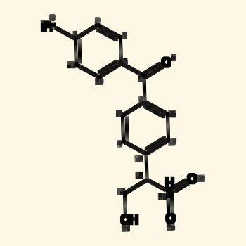 CC(C)c1ccc(C(=O)c2ccc(C(CO)[SH](=O)=O)cc2)cc1